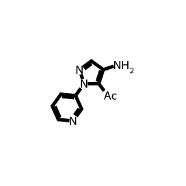 CC(=O)c1c(N)cnn1-c1cccnc1